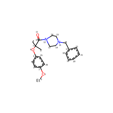 CCOc1ccc(OC(C)(C)C(=O)N2CCN(Cc3ccccc3)CC2)cc1